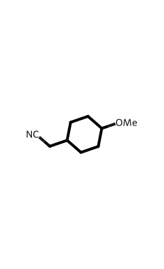 COC1CCC(CC#N)CC1